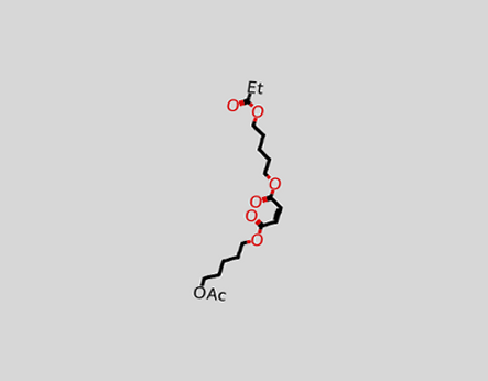 CCC(=O)OCCCCCOC(=O)/C=C\C(=O)OCCCCCOC(C)=O